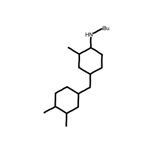 CCC(C)NC1CCC(CC2CCC(C)C(C)C2)CC1C